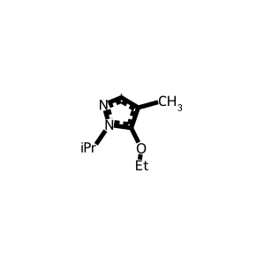 CCOc1c(C)[c]nn1C(C)C